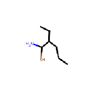 CCCC(CC)C(N)S